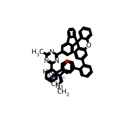 C=N/C=C(\C(C)=C/C)c1cccc(-c2ccccc2-c2ccc3c(c2)Oc2ccccc2C32c3ccccc3-c3cc(-c4nc(C)nc(-c5ccccc5-c5ccccc5)n4)ccc32)c1